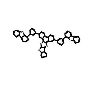 c1cc(-c2ccc3c4ccc(-c5cccc(-c6cccc7c6sc6ccccc67)c5)cc4c4nc5c(nc4c3c2)oc2ccccc25)cc(-c2cccc3c2sc2ccccc23)c1